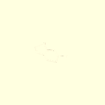 [CH2]CCCc1ccc2scnc2c1